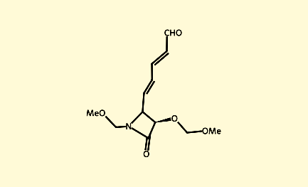 COCO[C@H]1C(=O)N(COC)C1C=CC=CC=O